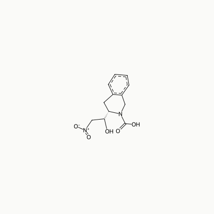 O=C(O)N1Cc2ccccc2C[C@H]1C(O)C[N+](=O)[O-]